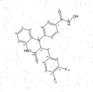 O=C(NO)c1ccc(N2c3ccccc3NC(=O)C2Cc2ccc(F)c(F)c2)cc1